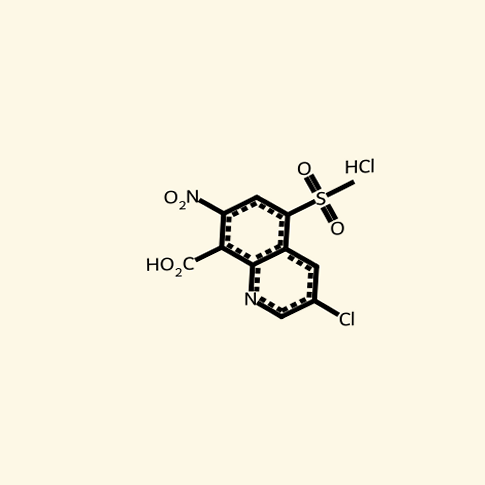 CS(=O)(=O)c1cc([N+](=O)[O-])c(C(=O)O)c2ncc(Cl)cc12.Cl